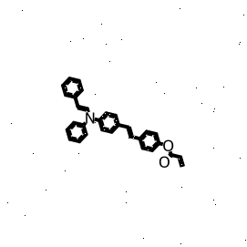 C=CC(=O)Oc1ccc(C=Cc2ccc(N(/C=C/c3ccccc3)c3ccccc3)cc2)cc1